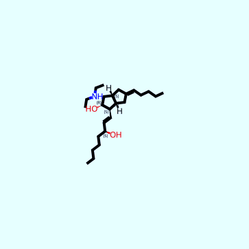 CCCCC=C1C[C@H]2C[C@@H](O)[C@H](C=C[C@@H](O)CCCCC)[C@H]2C1.CCNCC